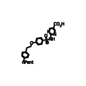 CCCCCc1ccc(CCOc2ccc(S(=O)(=O)Nc3ncc(C(=O)O)cn3)cc2)cc1